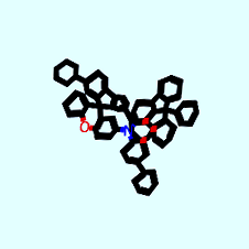 c1ccc(-c2ccc(N(c3ccc4c(c3)C3(c5ccccc5O4)c4cc(C5CCCCC5)ccc4-c4ccc(C5CCCCC5)cc43)c3ccc4c(c3)C(c3ccccc3)(c3ccccc3)c3ccccc3-4)cc2)cc1